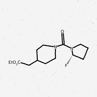 CCOC(=O)CC1CCN(C(=O)N2CCC[C@@H]2F)CC1